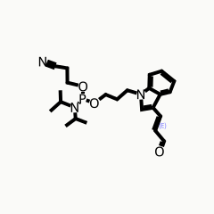 CC(C)N(C(C)C)P(OCCC#N)OCCCn1cc(/C=C/C=O)c2ccccc21